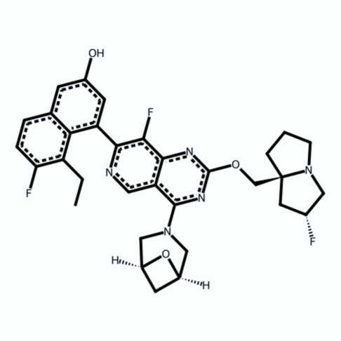 CCc1c(F)ccc2cc(O)cc(-c3ncc4c(N5C[C@H]6C[C@@H](C5)O6)nc(OC[C@@]56CCCN5C[C@H](F)C6)nc4c3F)c12